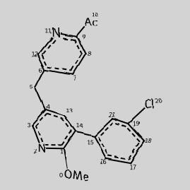 COc1ncc(Cc2ccc(C(C)=O)nc2)cc1-c1cccc(Cl)c1